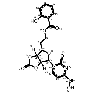 O=C1O[C@@H]2[C@H](O1)[C@@H](CCOC(=O)c1ccccc1O)O[C@H]2n1ccc(NO)nc1=O